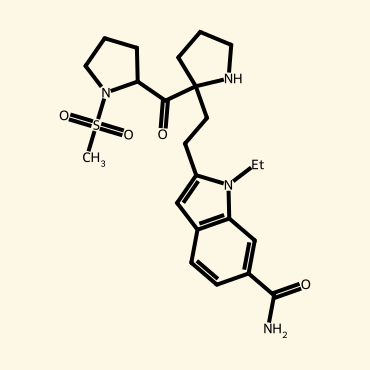 CCn1c(CCC2(C(=O)C3CCCN3S(C)(=O)=O)CCCN2)cc2ccc(C(N)=O)cc21